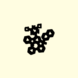 CC1(c2ccc3ccccc3c2)c2cccc3c2-c2c1cc(-c1nc(Cl)nc(Cl)n1)c1c4ccccc4n(c21)-c1ccccc1-3